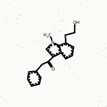 Cn1cc(C(=O)Cc2ccccc2)c2cccc(CCO)c21